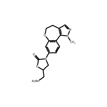 CC(=O)NCC1CN(c2ccc3c(c2)OCCc2cnn(C)c2-3)C(=O)O1